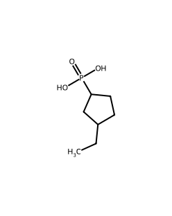 CCC1CCC(P(=O)(O)O)C1